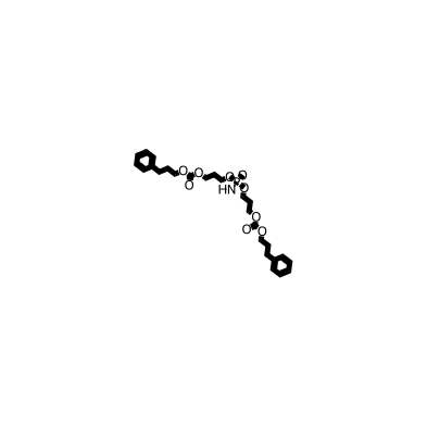 [NH]P(=O)(OCCCOC(=O)OCCCc1ccccc1)OCCCOC(=O)OCCCc1ccccc1